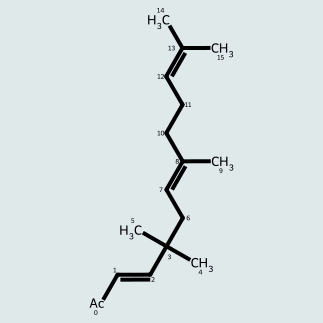 CC(=O)/C=C/C(C)(C)C/C=C(\C)CCC=C(C)C